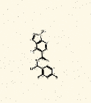 CCC(NC(=O)c1cnc2c(cnn2CC)c1Cl)c1ccc(C)cc1C